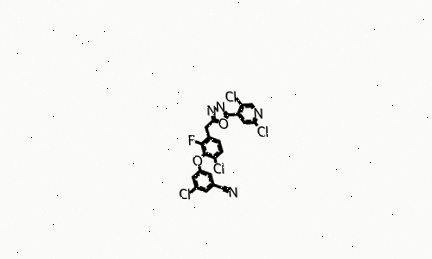 N#Cc1cc(Cl)cc(Oc2c(Cl)ccc(Cc3nnc(-c4cc(Cl)ncc4Cl)o3)c2F)c1